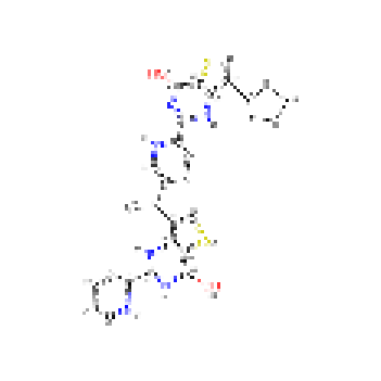 CC(C)C(c1ccc(-c2nc(O)c3scc(C4CCCC4)c3n2)nc1)c1csc2c(O)nc(-c3ccccn3)nc12